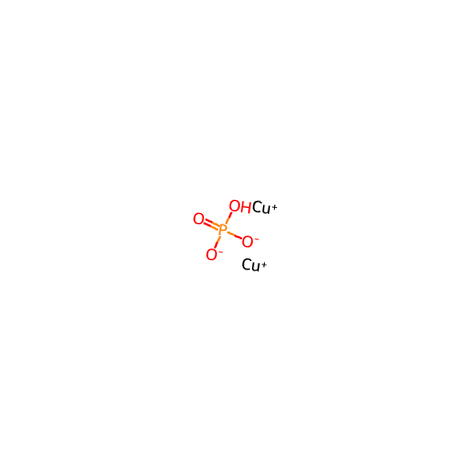 O=P([O-])([O-])O.[Cu+].[Cu+]